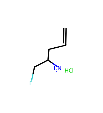 C=CCC(N)CF.Cl